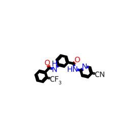 N#Cc1ccc(NC(=O)c2cccc(NC(=O)c3ccccc3C(F)(F)F)c2)nc1